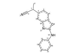 CC(C#N)c1ccc2oc(Nc3ccccc3)nc2c1